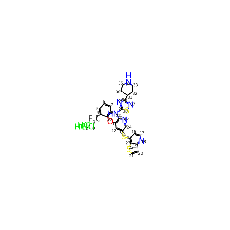 Cl.Cl.Cl.FC(F)(F)c1ccccc1Oc1cc(Sc2ccnc3ccsc23)cnc1Nc1nc(C2CCNCC2)ns1